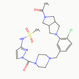 CC(=O)N1CC2CN(c3cc(CN4CCN(C(=O)n5ccc(NS(C)(=O)=O)n5)CC4)ccc3Cl)CC2C1